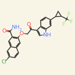 NC(=O)c1cc2cc(Cl)ccc2cc1OCC(=O)c1c[nH]c2cc(C3CC3C(F)(F)F)ccc12